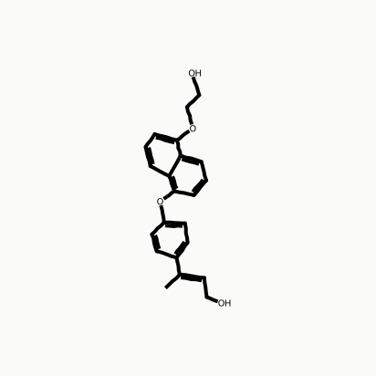 CC(=CCO)c1ccc(Oc2cccc3c(OCCO)cccc23)cc1